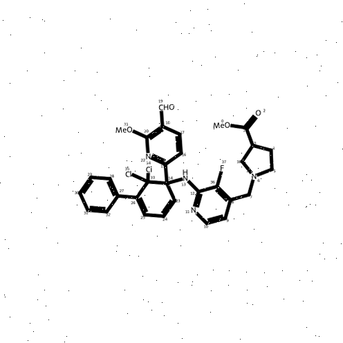 COC(=O)C1CCN(Cc2ccnc(NC3(c4ccc(C=O)c(OC)n4)C=CC=C(c4ccccc4)C3(Cl)Cl)c2F)C1